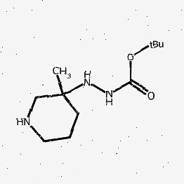 CC1(NNC(=O)OC(C)(C)C)CCCNC1